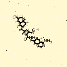 Nc1nccc2cc(CNC(=O)c3oc(Cc4ccc5ncc(Cl)cc5c4)nc3CO)ccc12